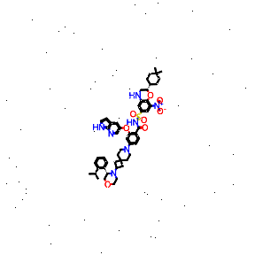 CC(C)c1ccccc1[C@H]1COCCN1C1CC2(CCN(c3ccc(C(=O)NS(=O)(=O)c4cc5c(c([N+](=O)[O-])c4)O[C@@H](C4CCC(C)(C)CC4)CN5)c(Oc4cnc5[nH]ccc5c4)c3)CC2)C1